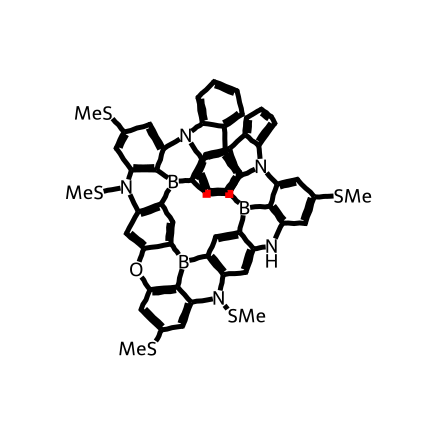 CSc1cc2c3c(c1)N(SC)c1cc4c(cc1B3c1cc3c(cc1O2)N(SC)c1cc(SC)cc2c1B3c1cccc3c5ccccc5n-2c13)B1c2c(cc(SC)cc2-n2c3ccccc3c3cccc1c32)N4